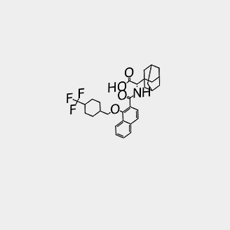 O=C(N[C@H](C(=O)O)C12CC3CC(CC(C3)C1)C2)c1ccc2ccccc2c1OCC1CCC(C(F)(F)F)CC1